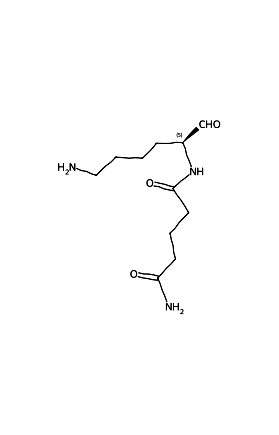 NCCCC[C@@H](C=O)NC(=O)CCCC(N)=O